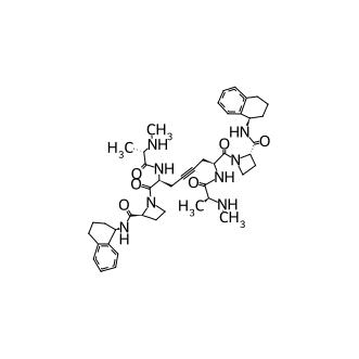 CN[C@@H](C)C(=O)N[C@@H](CC#CC[C@H](NC(=O)[C@H](C)NC)C(=O)N1CC[C@H]1C(=O)N[C@@H]1CCCc2ccccc21)C(=O)N1CC[C@H]1C(=O)N[C@@H]1CCCc2ccccc21